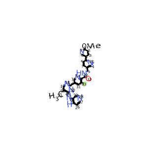 COc1ccc(-c2ccc(CNC(=O)c3ncc(-c4ncc(C)c(Nc5cccnc5)n4)cc3F)cn2)cn1